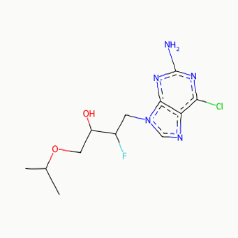 CC(C)OCC(O)C(F)Cn1cnc2c(Cl)nc(N)nc21